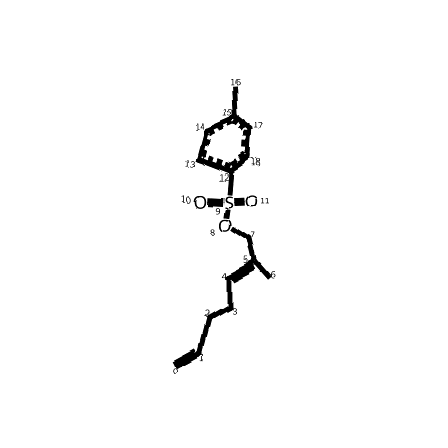 C=CCCC=C(C)COS(=O)(=O)c1ccc(C)cc1